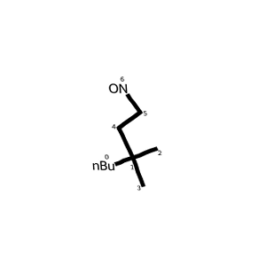 CCCCC(C)(C)CCN=O